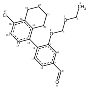 CCOCOc1cc(C=O)ccc1-c1nnc(Cl)c2c1CCCC2